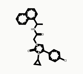 CC(NC(=O)Cn1cc(-c2ccc(Cl)cc2)n(C2CC2)c1=O)c1cccc2ccccc12